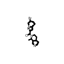 CC1c2cnccc2CCN1C(=O)c1cc2ccc(Br)cn2n1